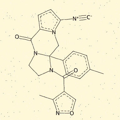 [C-]#[N+]c1ccc2n1CC1(c3ccc(C)cc3)N(C(=O)c3conc3C)CCN1C2=O